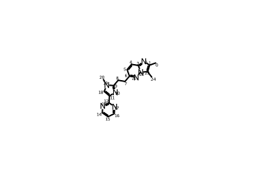 Cc1nc2ccc(CCc3nc(-c4ncccn4)cn3C)nn2c1C